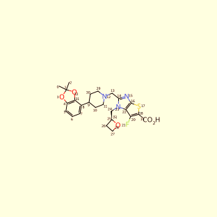 CC1(C)Oc2cccc(C3CCN(Cc4nc5sc(C(=O)O)c(F)c5n4C[C@@H]4CCO4)CC3)c2O1